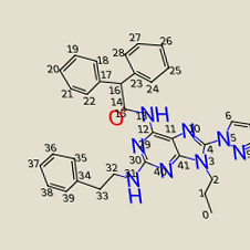 CCCn1c(-n2cccn2)nc2c(NC(=O)C(c3ccccc3)c3ccccc3)nc(NCCc3ccccc3)nc21